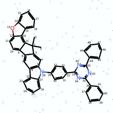 CC1(C)c2cc3c(cc2-c2ccc4oc5ccccc5c4c21)c1ccccc1n3-c1ccc(-c2nc(-c3ccccc3)nc(-c3ccccc3)n2)cc1